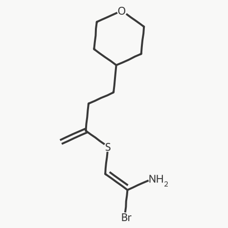 C=C(CCC1CCOCC1)S/C=C(\N)Br